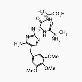 COc1cc(Cc2cnc(N[C@@H](NC(=O)[C@H](C)N)C(=O)N[C@@H](C)C(=O)O)nc2N)cc(OC)c1OC